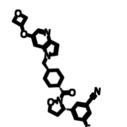 N#Cc1cc(F)cc([C@@H]2CCON2C(=O)[C@H]2CC[C@H](Cn3ccc4ncc(OC5COC5)cc43)CC2)c1